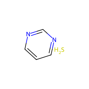 S.c1cncnc1